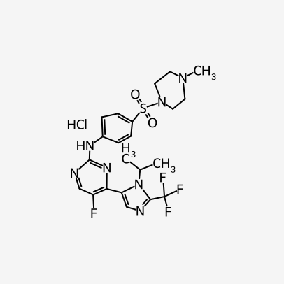 CC(C)n1c(-c2nc(Nc3ccc(S(=O)(=O)N4CCN(C)CC4)cc3)ncc2F)cnc1C(F)(F)F.Cl